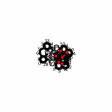 c1cc2c(c(-p3oc4ccc5ccccc5c4c4c(ccc5ccccc54)o3)c1)Oc1c(cccc1-p1oc3ccc4ccccc4c3c3c(ccc4ccccc43)o1)CC2